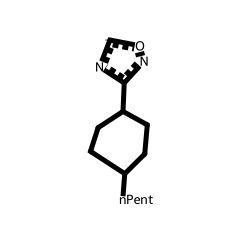 CCCCCC1CCC(c2n[c]on2)CC1